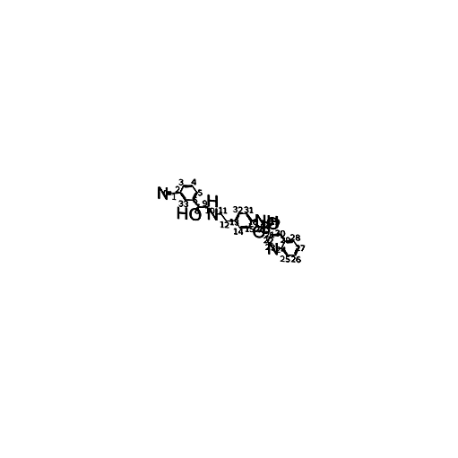 N#Cc1cccc([C@@H](O)CNCCc2ccc(NS(=O)(=O)c3cnc4ccccc4c3)cc2)c1